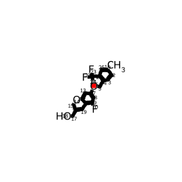 Cc1ccc(COc2cc(F)c3c(c2)OCC(CO)=C3)c(C(F)(F)F)c1